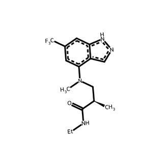 CCNC(=O)[C@H](C)CN(C)c1cc(C(F)(F)F)cc2[nH]ncc12